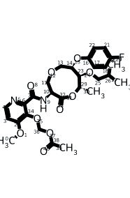 COc1ccnc(C(=O)N[C@H]2COC[C@H](Oc3ccc(F)cc3)[C@@H](OCC(C)C)[C@H](C)OC2=O)c1OCOC(C)=O